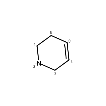 [C]1=CC[N]CC1